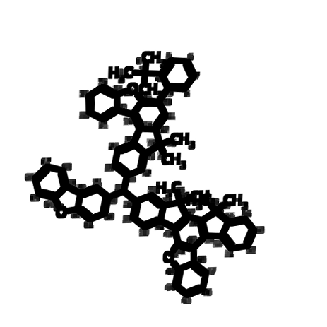 CC(C)(C)c1ccccc1-c1cc2c(c3c1oc1ccccc13)-c1ccc(C(c3ccc4c(c3)C(C)(C)c3c5c(c6c(oc7ccccc76)c3-4)-c3ccccc3C5(C)C)c3ccc4oc5ccccc5c4c3)cc1C2(C)C